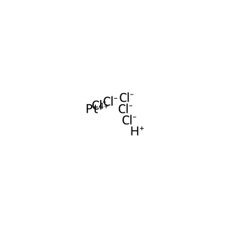 [Cl-].[Cl-].[Cl-].[Cl-].[Cl-].[H+].[Pt+4]